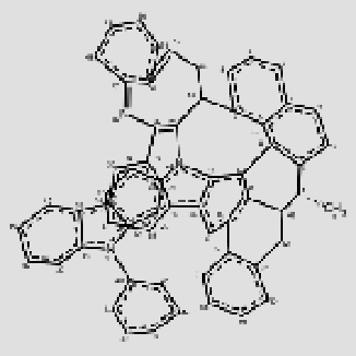 C[C@H]1c2ccc3cccc4c3c2-c2c3c(cc5c6ccccc6n(c25)/C2=C(c5ccc6c(c5)c5ccccc5n6-c5ccccc5)/N=c5/cccc/c5=C\CC24)-c2ccccc2CC31